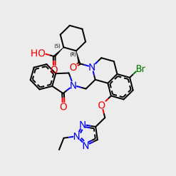 CCn1ncc(COc2ccc(Br)c3c2C(CN2Cc4ccccc4C2=O)N(C(=O)[C@@H]2CCCC[C@@H]2C(=O)O)CC3)n1